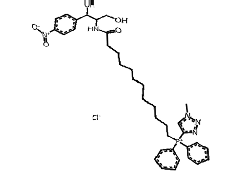 Cn1cc([P+](CCCCCCCCCCCC(=O)NC(CO)C(O)c2ccc([N+](=O)[O-])cc2)(c2ccccc2)c2ccccc2)nn1.[Cl-]